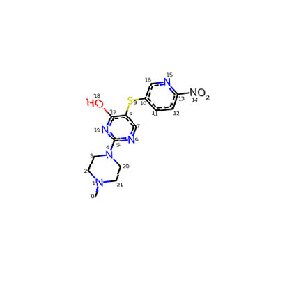 CN1CCN(c2ncc(Sc3ccc([N+](=O)[O-])nc3)c(O)n2)CC1